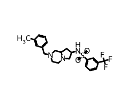 Cc1cccc(CN2CCN3CC(NS(=O)(=O)c4cccc(C(F)(F)F)c4)CC3C2)c1